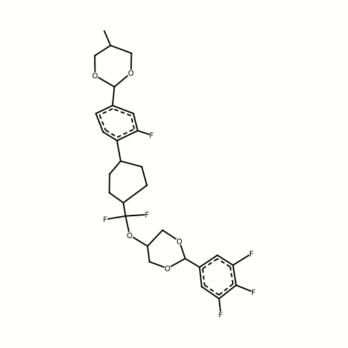 CC1COC(c2ccc(C3CCC(C(F)(F)OC4COC(c5cc(F)c(F)c(F)c5)OC4)CC3)c(F)c2)OC1